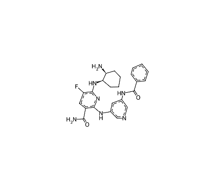 NC(=O)c1cc(F)c(N[C@@H]2CCCC[C@@H]2N)nc1Nc1cncc(NC(=O)c2ccccc2)c1